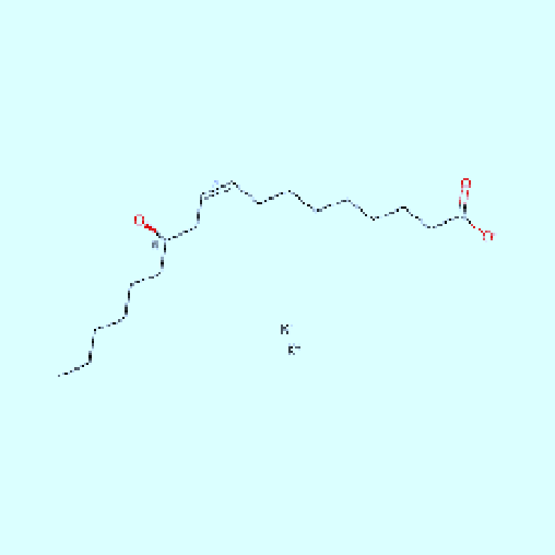 CCCCCC[C@@H]([O-])C/C=C\CCCCCCCC(=O)[O-].[K+].[K+]